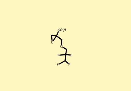 O=S(=O)(O)C1(COCC(F)(F)C(F)F)CO1